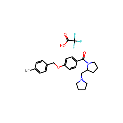 N#Cc1ccc(COc2ccc(C(=O)N3CCCC3CN3CCCC3)cc2)cc1.O=C(O)C(F)(F)F